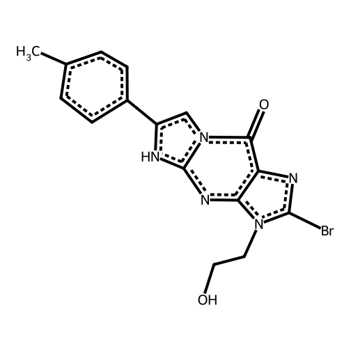 Cc1ccc(-c2cn3c(=O)c4nc(Br)n(CCO)c4nc3[nH]2)cc1